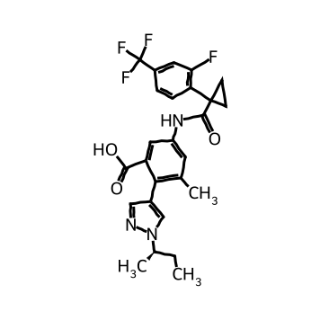 CC[C@@H](C)n1cc(-c2c(C)cc(NC(=O)C3(c4ccc(C(F)(F)F)cc4F)CC3)cc2C(=O)O)cn1